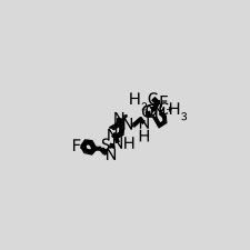 C=C(F)C(=O)[N@+]1(C)CCC[C@H]1C(=O)NCCn1cnc2cnc(Nc3ncc(-c4ccc(F)cc4)s3)cc21